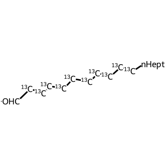 [13CH3][13CH2][13CH2][13CH2][13CH2][13CH2][13CH2][13CH2][13CH2][13CH2][13CH2][13CH2][13CH2][13CH2][13CH2][13CH2][13CH2][13C]=O